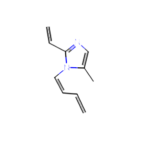 C=C/C=C\n1c(C)cnc1C=C